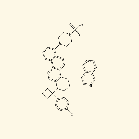 CCS(=O)(=O)N1CCN(c2cccc3c2ccc2c4c(ccc23)C(C2(c3ccc(Cl)cc3)CCC2)CCC4)CC1.c1ccc2cnccc2c1